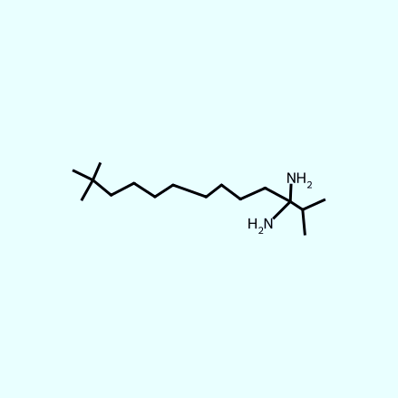 CC(C)C(N)(N)CCCCCCCCC(C)(C)C